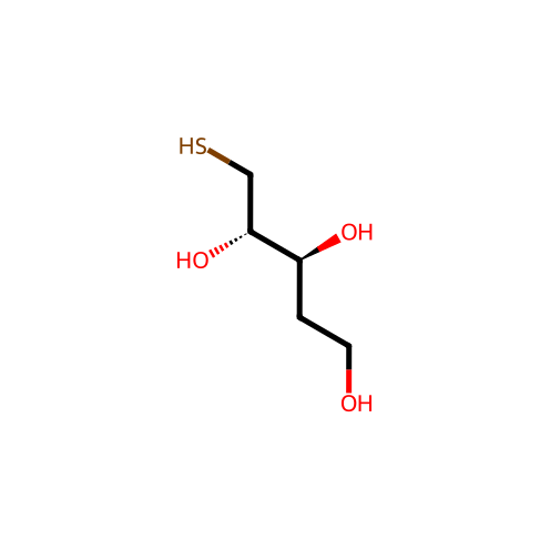 OCC[C@H](O)[C@H](O)CS